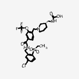 CCS(=O)(=O)c1ccc(Cl)cc1CNC(=O)c1ccc(CN2CCC[C@@H](CNC(=O)O)C2)c(OC(F)(F)F)c1